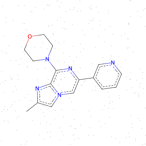 Cc1cn2cc(-c3cccnc3)nc(N3CCOCC3)c2n1